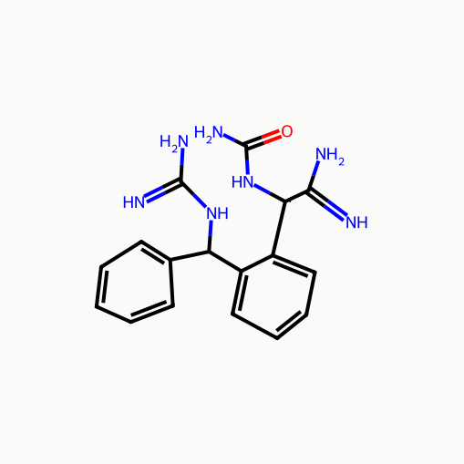 N=C(N)NC(c1ccccc1)c1ccccc1[C](NC(N)=O)C(=N)N